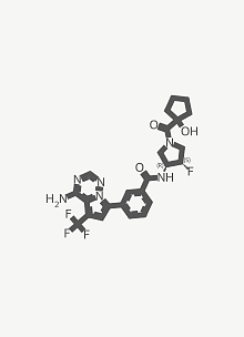 Nc1ncnn2c(-c3cccc(C(=O)N[C@@H]4CN(C(=O)C5(O)CCCC5)C[C@@H]4F)c3)cc(C(F)(F)F)c12